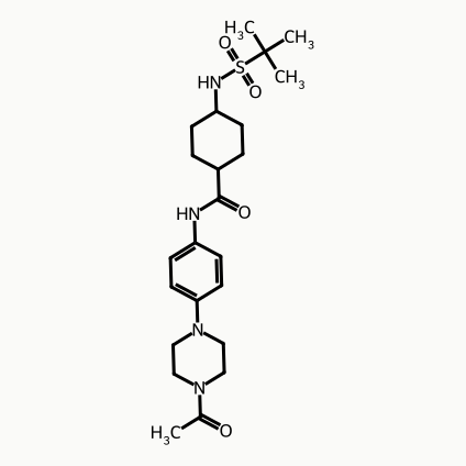 CC(=O)N1CCN(c2ccc(NC(=O)C3CCC(NS(=O)(=O)C(C)(C)C)CC3)cc2)CC1